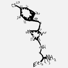 CCC(N)CNc1nc(Cc2ccc(Cl)cc2)ns1